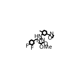 COc1cn(Cc2ccc(F)c(F)c2)c(Nc2cc(-c3ncco3)ccc2C)nc1=O